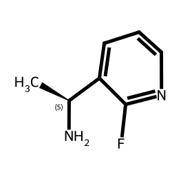 C[C@H](N)c1cccnc1F